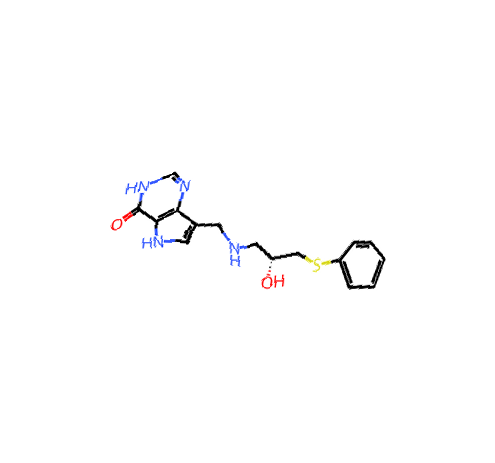 O=c1[nH]cnc2c(CNC[C@@H](O)CSc3ccccc3)c[nH]c12